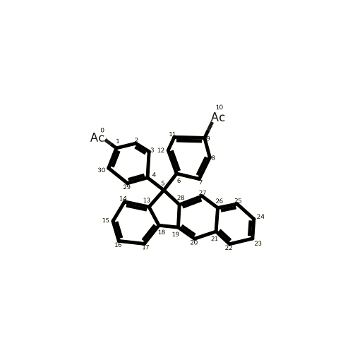 CC(=O)c1ccc(C2(c3ccc(C(C)=O)cc3)c3ccccc3-c3cc4ccccc4cc32)cc1